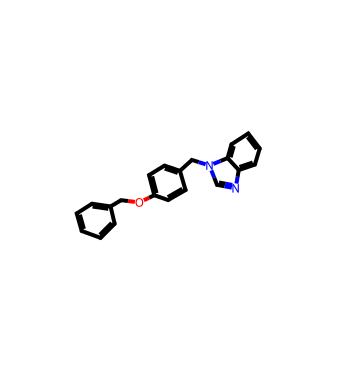 c1ccc(COc2ccc(Cn3cnc4ccccc43)cc2)cc1